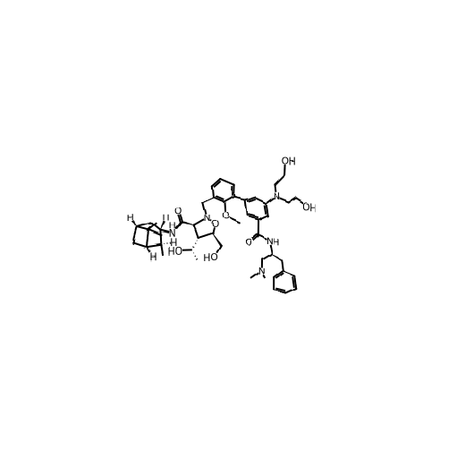 COc1c(CN2O[C@@H](CO)[C@H]([C@H](C)O)[C@H]2C(=O)N[C@H]2C[C@H]3C[C@@H]([C@@H]2C)C3(C)C)cccc1-c1cc(C(=O)N[C@@H](Cc2ccccc2)CN(C)C)cc(N(CCO)CCO)c1